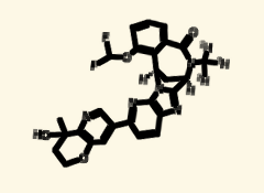 [2H]C([2H])([2H])N1C(=O)c2cccc(OC(F)F)c2[C@H]2C[C@@H]1c1nc3ccc(-c4cnc5c(c4)OCCC5(C)O)nc3n12